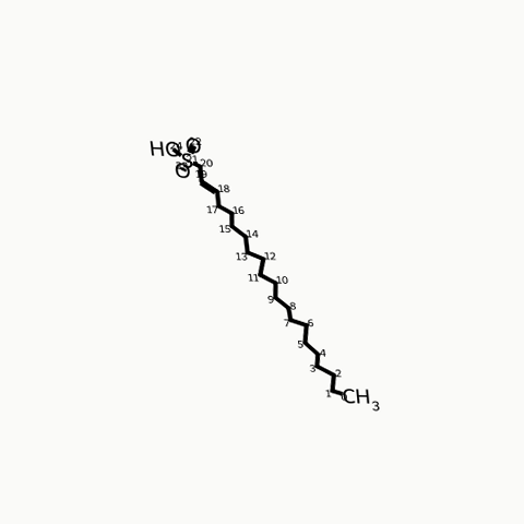 CCCCCCCCCCCCCCCCCCC=CCS(=O)(=O)O